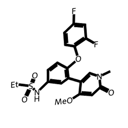 CCS(=O)(=O)Nc1ccc(Oc2ccc(F)cc2F)c(-c2cn(C)c(=O)cc2OC)c1